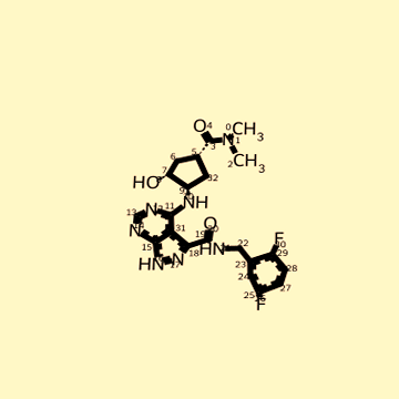 CN(C)C(=O)[C@H]1C[C@@H](O)[C@H](Nc2ncnc3[nH]nc(C(=O)NCc4cc(F)ccc4F)c23)C1